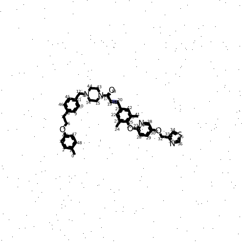 Cc1ccc(OCCc2ccc(CN3CCN(C(=O)/C=C/c4cc(C)c(Oc5ccc(OCc6cscn6)cn5)c(C)c4)CC3)cc2)cc1